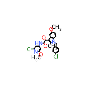 COc1ccc2c(c1)c(C(=O)C(=O)Nc1cc(Cl)nc(OC)c1)c(C)n2Cc1ccc(Cl)cc1